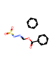 O=C(OC=NN=S(=O)=O)c1ccccc1.c1ccccc1